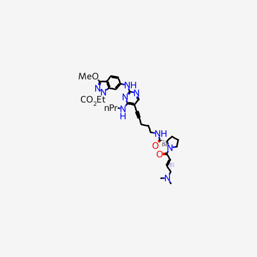 CCCNc1nc(Nc2ccc3c(OC)nn(C(=O)OCC)c3c2)ncc1C#CCCCNC(=O)[C@@H]1CCCN1C(=O)/C=C/CN(C)C